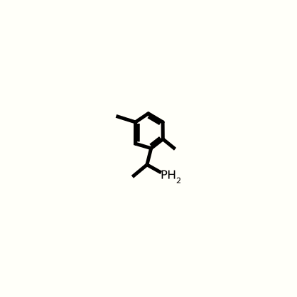 Cc1ccc(C)c(C(C)P)c1